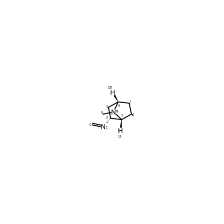 C=N[C@@H]1C[C@@H]2CC[C@H]1N2C